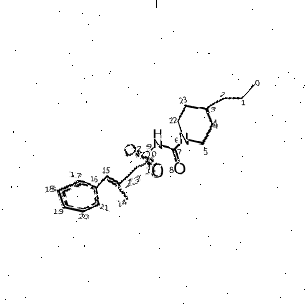 CCCC1CCN(C(=O)NS(=O)(=O)C(C)=Cc2ccccc2)CC1